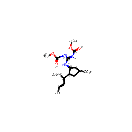 CCC=CC(NC(C)=O)C1CC(C(=O)O)CC1NC(=NC(=O)OC(C)(C)C)NC(=O)OC(C)(C)C